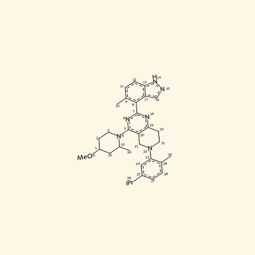 COC1CCN(c2nc(-c3c(C)ccc4[nH]ncc34)nc3c2CN(c2cc(C(C)C)ccc2C)CC3)C(C)C1